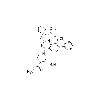 C=CC(=O)N1CCN(c2nc(OC3(CN(C)C)CCCC3)nc3c2CCN(c2ccccc2Cl)C3)C[C@@H]1CC#N